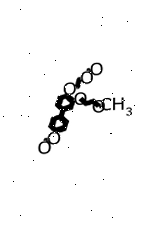 COCCOc1cc(-c2ccc(OC=O)cc2)ccc1OCCOC=O